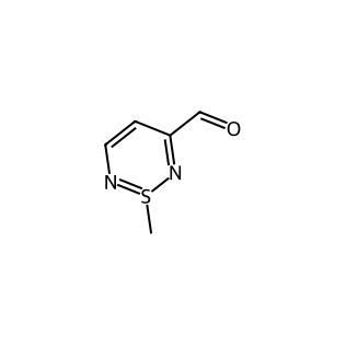 CS1=NC=CC(C=O)=N1